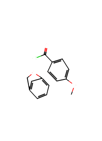 COc1ccc(C(=O)Cl)cc1.c1cc2cc(c1)OC2